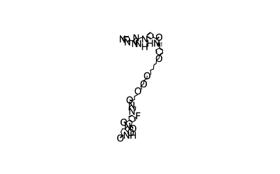 C[C@@H](NC(=O)c1cccc(NCc2nnc(-c3ccncn3)n2C)c1)c1ccc(OCCCCCCOCCOCCOCCCC(=O)N2CCN(c3cc4c(cc3F)C(=O)N(C3CCC(=O)NC3=O)C4=O)CC2)cc1